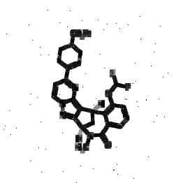 CCOC(=O)C1CC=C(c2ccn3nc4c(c3n2)[C@@H]2C[C@H]4N(C)C(=O)c3cccc(OC(F)F)c32)CC1